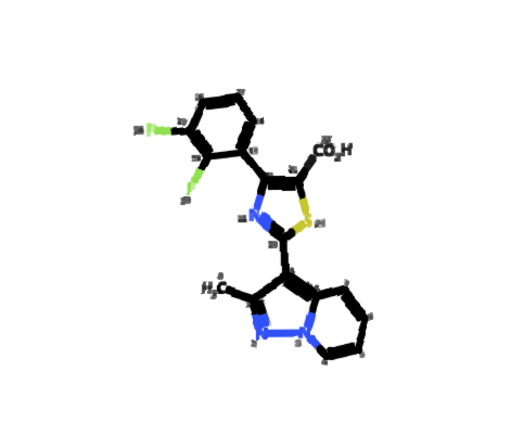 Cc1nn2ccccc2c1-c1nc(-c2cccc(F)c2F)c(C(=O)O)s1